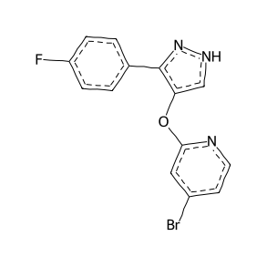 Fc1ccc(-c2n[nH]cc2Oc2cc(Br)ccn2)cc1